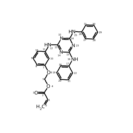 C=CC(=O)OCOc1cccc(Nc2nc(Nc3ccccc3)nc(Nc3ccccc3)n2)c1